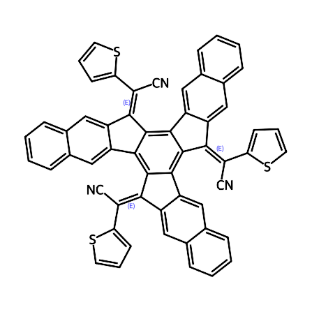 N#C/C(=C1/c2cc3ccccc3cc2-c2c1c1c(c3c2/C(=C(\C#N)c2cccs2)c2cc4ccccc4cc2-3)/C(=C(\C#N)c2cccs2)c2cc3ccccc3cc2-1)c1cccs1